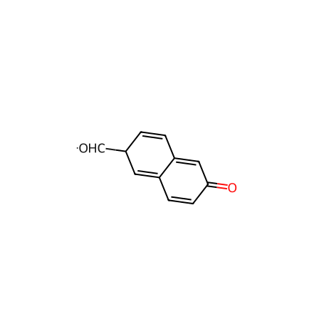 O=[C]C1C=CC2=CC(=O)C=CC2=C1